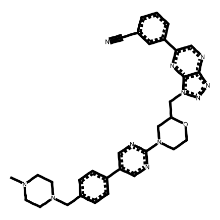 CN1CCN(Cc2ccc(-c3cnc(N4CCOC(Cn5nnc6ncc(-c7cccc(C#N)c7)nc65)C4)nc3)cc2)CC1